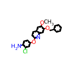 COc1cc2ccc(Oc3ccc(N)c(Cl)c3)nc2cc1OCc1ccccc1